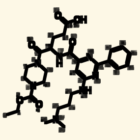 CCOC(=O)N1CCN(C(=O)C(CCC(=O)O)NC(=O)c2cc(NCCCN(C)C)nc(-c3ccccc3)n2)CC1